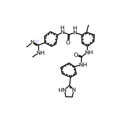 C/N=C(\NC)c1ccc(NC(=O)Nc2cc(NC(=O)Nc3cccc(C4=NCCN4)c3)ccc2C)cc1